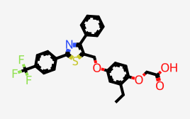 CCc1cc(OCc2sc(-c3ccc(C(F)(F)F)cc3)nc2-c2ccccc2)ccc1OCC(=O)O